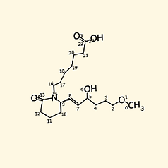 COCCCC(O)/C=C/[C@H]1CCCC(=O)N1CCCCCCC(=O)O